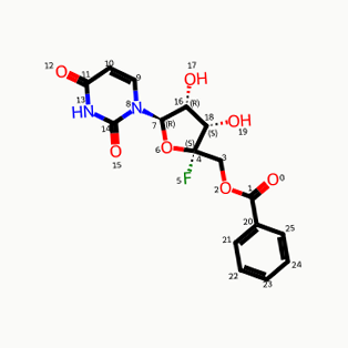 O=C(OC[C@@]1(F)O[C@@H](n2ccc(=O)[nH]c2=O)[C@H](O)[C@@H]1O)c1ccccc1